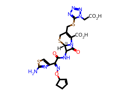 Nc1nc(C(=NOC2C=CCC2)C(=O)NC2C(=O)N3C(C(=O)O)=C(CSc4nnnn4CC(=O)O)CS[C@@H]23)cs1